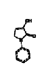 O=C1C(O)=CCN1c1ccccc1